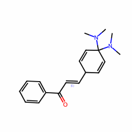 CN(C)C1(N(C)C)C=CC(/C=C/C(=O)c2ccccc2)C=C1